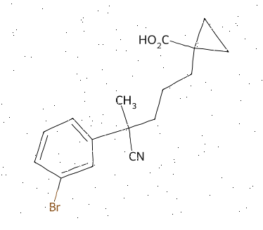 CC(C#N)(CCCC1(C(=O)O)CC1)c1cccc(Br)c1